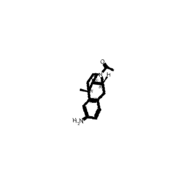 CC(=O)N1CC[C@@]2(C)c3cc(N)ccc3C[C@@H]1[C@H]2C